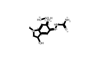 CN1CC(O)C2=C/C(=N/NC(N)=O)C(=O)C=C21.O=S(=O)(O)O